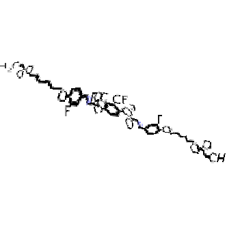 C=CC(=O)OCCCCCCOc1ccc(/C=C/C(=O)Oc2ccc(OC(=O)/C=C/c3ccc(OCCCCCCOC(=O)C=C)c(F)c3)c(C(F)(F)F)c2C(F)(F)F)cc1F